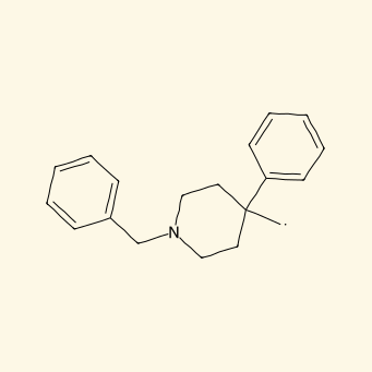 [CH2]C1(c2ccccc2)CCN(Cc2ccccc2)CC1